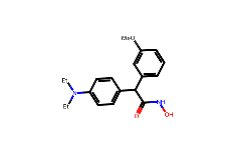 CCN(CC)c1ccc(C(C(=O)NO)c2cccc(OC)c2)cc1